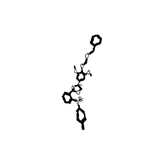 COc1cc([C@H]2COC(c3ccccc3[S@@+]([O-])c3ccc(C)cc3)=N2)cc(OC)c1OCOCc1ccccc1